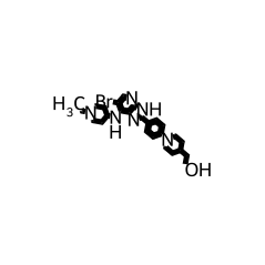 CCN1CCC(Nc2c(Br)cnc3[nH]c(-c4ccc(N5CCC(CCO)CC5)cc4)nc23)CC1